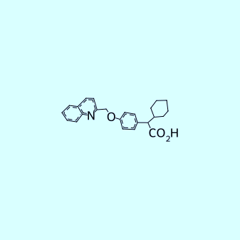 O=C(O)C(c1ccc(OCc2ccc3ccccc3n2)cc1)C1CCCCC1